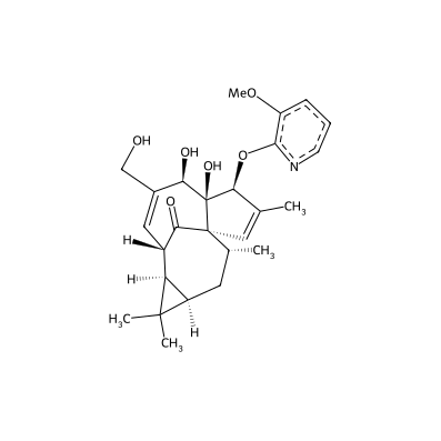 COc1cccnc1O[C@H]1C(C)=C[C@]23C(=O)[C@@H](C=C(CO)[C@@H](O)[C@]12O)[C@H]1[C@@H](C[C@H]3C)C1(C)C